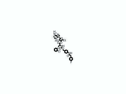 CC[C@H]1O[C@@H](n2cnc3c(N)ncnc32)[C@H](O)[C@@H]1OC(=O)C(COc1ccccc1Cl)NC(=O)OCc1ccc(NC(=O)Cc2ccc(F)cc2)cc1